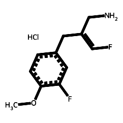 COc1ccc(CC(=CF)CN)cc1F.Cl